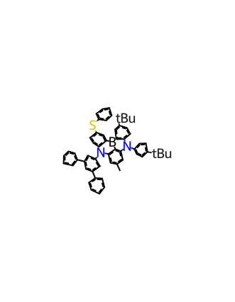 Cc1cc2c3c(c1)N(c1ccc(C(C)(C)C)cc1)c1ccc(C(C)(C)C)cc1B3c1cc(Sc3ccccc3)ccc1N2c1cc(-c2ccccc2)cc(-c2ccccc2)c1